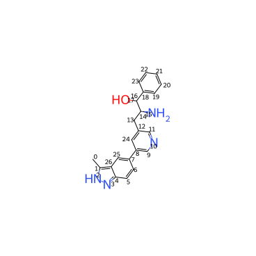 Cc1[nH]nc2ccc(-c3cncc(C[C@H](N)C(O)c4ccccc4)c3)cc12